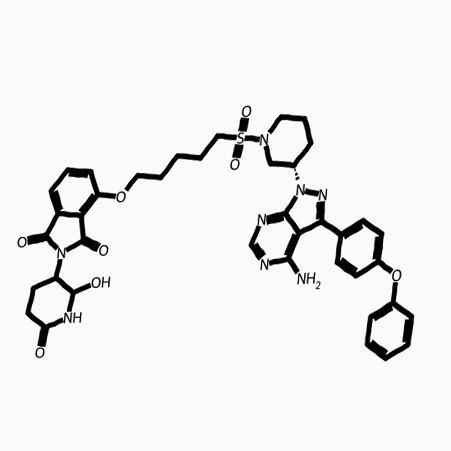 Nc1ncnc2c1c(-c1ccc(Oc3ccccc3)cc1)nn2[C@H]1CCCN(S(=O)(=O)CCCCCOc2cccc3c2C(=O)N(C2CCC(=O)NC2O)C3=O)C1